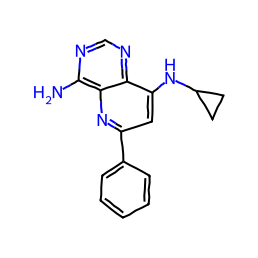 Nc1ncnc2c(NC3CC3)cc(-c3ccccc3)nc12